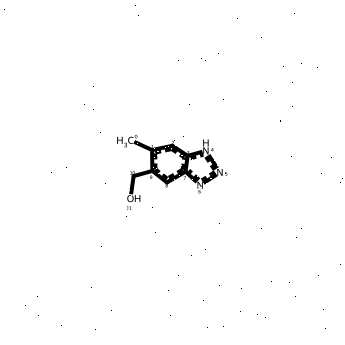 Cc1cc2[nH]nnc2cc1CO